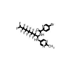 Cc1ncc(NC(NC(=O)c2ccc(Br)cn2)C(F)(F)C(F)(F)C(F)(F)C(F)(F)C(F)(F)C(F)F)cn1